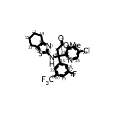 COC(=O)CC(Nc1nc2c(s1)CCCC2)(c1cc(F)cc(C(F)(F)F)c1)c1ccc(Cl)cn1